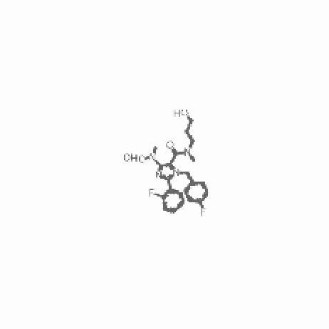 CN(CCCO)C(=O)c1c(N(C)C=O)nc(-c2ccccc2F)n1Cc1ccc(F)cc1